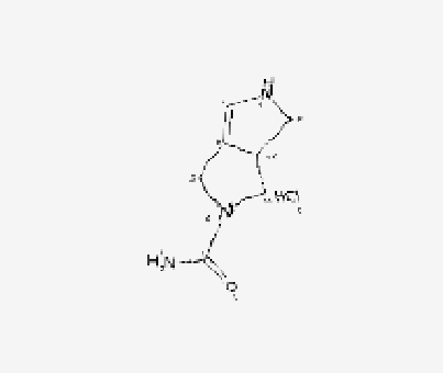 Cl.NC(=O)N1CC2=CNCC2C1